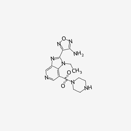 CCn1c(-c2nonc2N)nc2cncc(S(=O)(=O)N3CCNCC3)c21